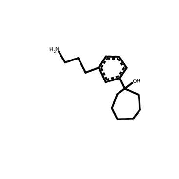 NCCCc1cccc(C2(O)CCCCCC2)c1